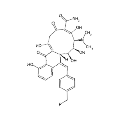 CN(C)[C@@H]1/C(O)=C(/C(N)=O)C(=O)C/C(O)=C2/C(=O)c3c(O)cccc3/C(=C\c3ccc(CF)cc3)[C@H]2[C@H](O)[C@@H]1O